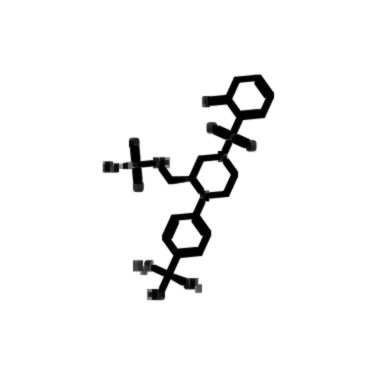 CC[C@@H](C)S(=O)(=O)NC[C@H]1CN(S(=O)(=O)C2=CC=CCC2=S)CCN1c1ccc([C@@](C)(O)C(F)(F)F)cc1